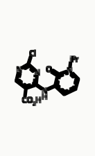 CC(C)n1cccc(Nc2nc(Cl)ncc2C(=O)O)c1=O